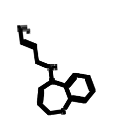 NC=CCNN1C=CCSc2ccccc21